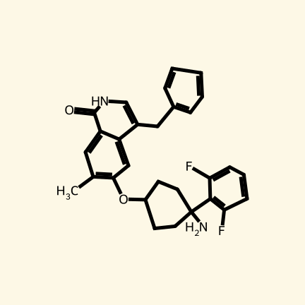 Cc1cc2c(=O)[nH]cc(Cc3ccccc3)c2cc1OC1CCC(N)(c2c(F)cccc2F)CC1